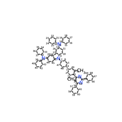 Cc1cc(-c2ccc(-n3c4ccc(N(c5ccccc5)c5ccccc5)cc4c4cc(N(c5ccccc5)c5ccccc5)ccc43)cc2)cc(C)c1-c1cc(-c2ccccc2)nc(-c2ccccc2)n1